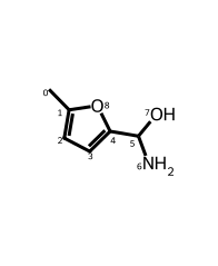 Cc1ccc(C(N)O)o1